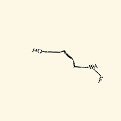 OCCBF